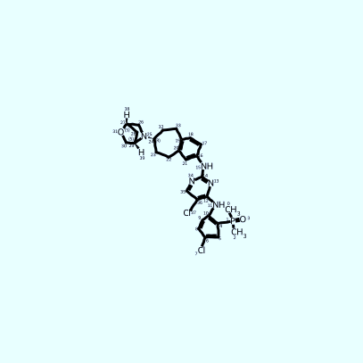 CP(C)(=O)c1cc(Cl)ccc1Nc1nc(Nc2ccc3c(c2)CC[C@H](N2C[C@@H]4C[C@H]2CO4)CC3)ncc1Cl